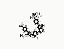 Cc1nc(C2(C)CCN(c3ncnc4[nH]c(-c5ccc(NS(C)(=O)=O)cc5)cc34)CC2)[nH]c1-c1ccc(C(F)F)cc1